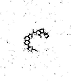 C/C(N)=C(\OCCO)N1CCc2ccc(CNC(=O)c3nc4scc(-c5cccs5)c4c(=O)[nH]3)cc2C1